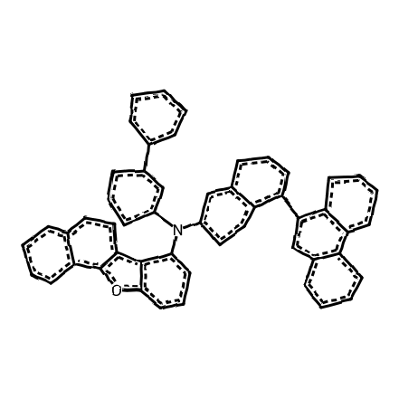 c1ccc(-c2cccc(N(c3ccc4c(-c5cc6ccccc6c6ccccc56)cccc4c3)c3cccc4oc5c6ccccc6ccc5c34)c2)cc1